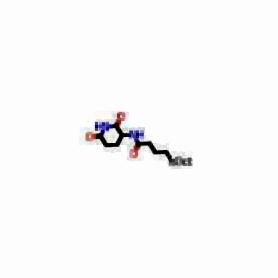 CCCCCCCCCCCC(=O)NC1CCC(=O)NC1=O